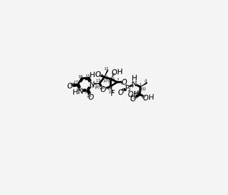 C[C@H](NP(=O)(O)OC1[C@]2(O)[C@@](C)(O)[C@H](n3ccc(=O)[nH]c3=O)O[C@]12F)C(=O)O